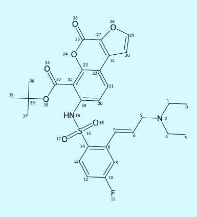 CCN(CC)CC=Cc1cc(F)ccc1S(=O)(=O)Nc1ccc2c(oc(=O)c3occc32)c1C(=O)OC(C)(C)C